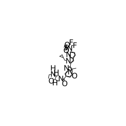 COc1cc(C(=O)N2C[C@@H]3NCCO[C@@H]3C2)cc2nc(-c3cc4ccc(N(C(F)F)S(C)(=O)=O)nc4n3CC3CC3)c(C)n12